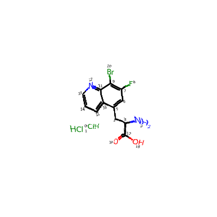 Cl.Cl.NC(Cc1cc(F)c(Br)c2ncccc12)C(=O)O